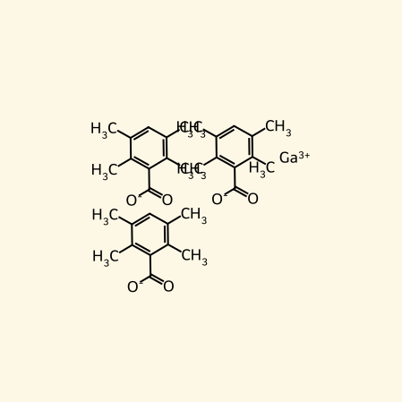 Cc1cc(C)c(C)c(C(=O)[O-])c1C.Cc1cc(C)c(C)c(C(=O)[O-])c1C.Cc1cc(C)c(C)c(C(=O)[O-])c1C.[Ga+3]